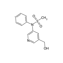 CS(=O)(=O)N(c1cc[c]cc1)c1cncc(CO)c1